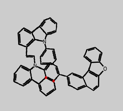 C1=CCCC(c2ccccc2N(C=Cc2cccc3c4ccccc4n(-c4ccccc4)c23)c2ccc(-c3ccc4ccc5oc6ccccc6c5c4c3)cc2)=C1